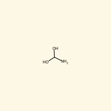 N[C](O)O